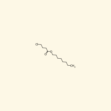 CCCCCCCCOC(=O)CCCCl